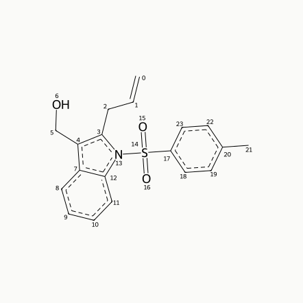 C=CCc1c(CO)c2ccccc2n1S(=O)(=O)c1ccc(C)cc1